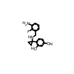 Nc1cccc(CNC2(c3ccc(O)cc3O)CC2)c1F